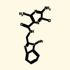 CCCn1c(CNC(=O)c2nc(Cl)c(N)nc2N)nc2ccccc21